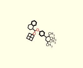 CC(C)CC(c1ccc(OC(OC23CC4CC5CC(C2)C543)C2CCCc3ccccc32)cc1)C(C)C